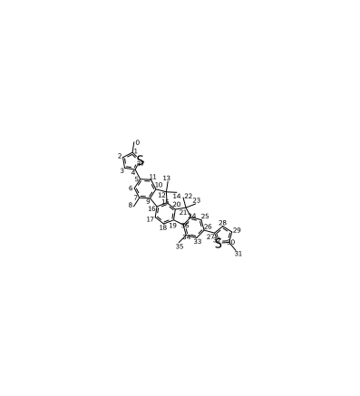 Cc1ccc(-c2cc(C)c3c(c2)C(C)(C)c2c-3ccc3c2C(C)(C)c2cc(-c4ccc(C)s4)cc(C)c2-3)s1